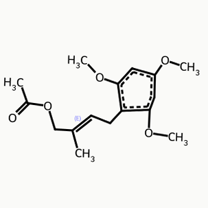 COc1cc(OC)c(C/C=C(\C)COC(C)=O)c(OC)c1